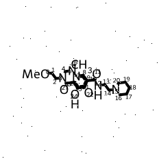 COCCN1CN(C)n2cc(C(=O)NCCN3CCCCC3)c(=O)c(O)c2C1=O